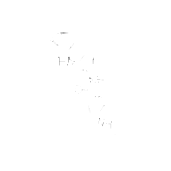 Nc1ccc(C(=O)Nc2cccc(Nc3ccccc3)c2)cc1